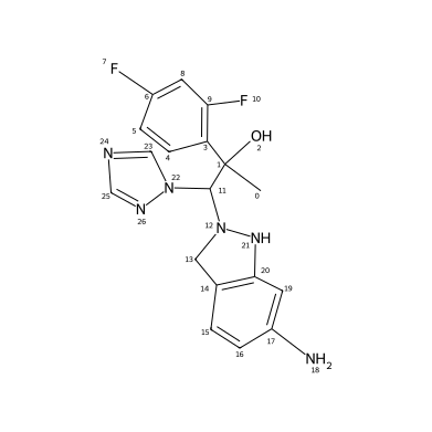 CC(O)(c1ccc(F)cc1F)C(N1Cc2ccc(N)cc2N1)n1cncn1